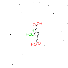 Cl.Cl.O=C(O)C=Cc1ccc(C=CC(=O)O)cc1